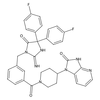 N=C1NC(c2ccc(F)cc2)(c2ccc(F)cc2)C(=O)N1Cc1cccc(C(=O)N2CCC(n3c(=O)[nH]c4ncccc43)CC2)c1